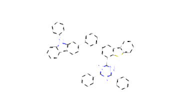 c1ccc(-c2nc(-c3ccccc3)nc(-c3cc(-c4cccc(-c5ccc6c7ccccc7n(-c7ccccc7)c6c5)c4)cc4c3sc3ccccc34)n2)cc1